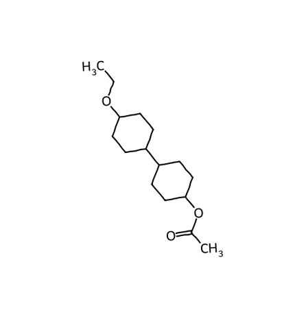 CCOC1CCC(C2CCC(OC(C)=O)CC2)CC1